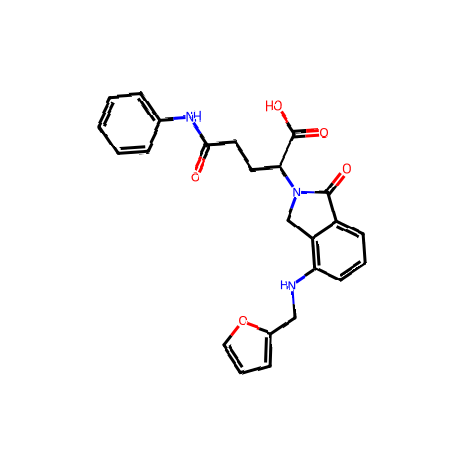 O=C(CCC(C(=O)O)N1Cc2c(NCc3ccco3)cccc2C1=O)Nc1ccccc1